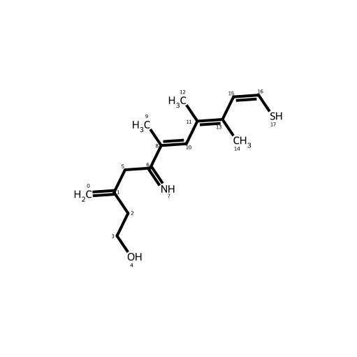 C=C(CCO)CC(=N)/C(C)=C/C(C)=C(C)/C=C\S